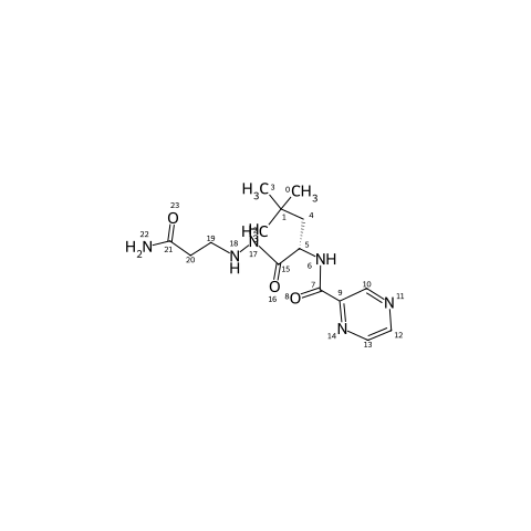 CC(C)(C)C[C@H](NC(=O)c1cnccn1)C(=O)NNCCC(N)=O